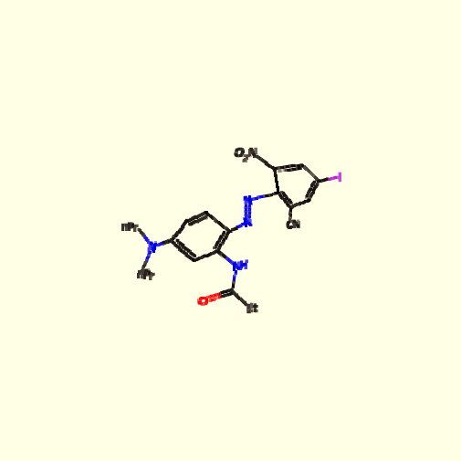 CCCN(CCC)c1ccc(/N=N/c2c(C#N)cc(I)cc2[N+](=O)[O-])c(NC(=O)CC)c1